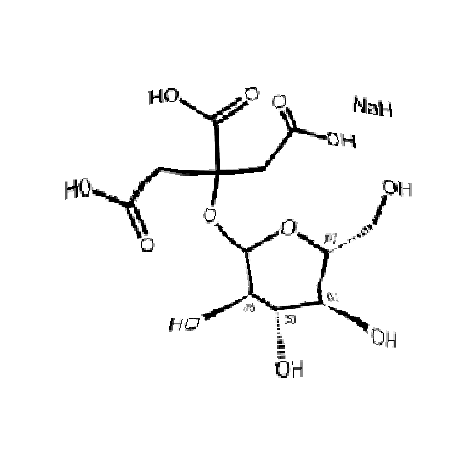 O=C(O)CC(CC(=O)O)(OC1O[C@H](CO)[C@@H](O)[C@H](O)[C@H]1O)C(=O)O.[NaH]